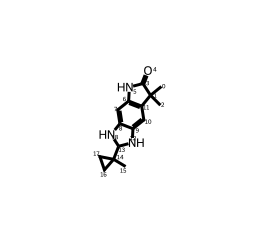 CC1(C)C(=O)Nc2cc3c(cc21)NC(C1(C)CC1)N3